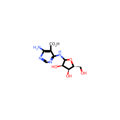 Nc1ncnc(NC2O[C@H](CO)[C@@H](O)[C@H]2O)c1C(=O)O